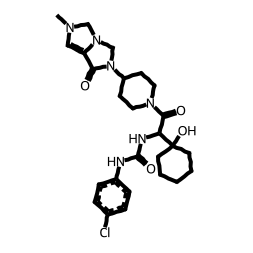 CN1C=C2C(=O)N(C3CCN(C(=O)C(NC(=O)Nc4ccc(Cl)cc4)C4(O)CCCCC4)CC3)CN2C1